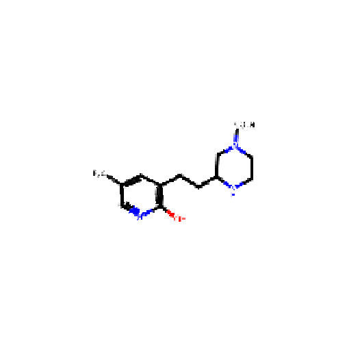 O=C(O)N1CCNC(CCc2cc(C(F)(F)F)cnc2O)C1